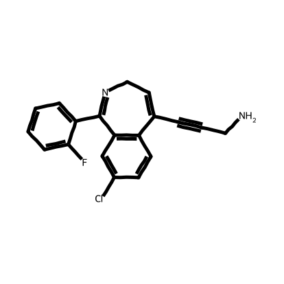 NCC#CC1=CCN=C(c2ccccc2F)c2cc(Cl)ccc21